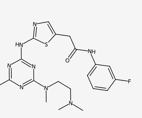 Cc1nc(Nc2ncc(CC(=O)Nc3cccc(F)c3)s2)nc(N(C)CCN(C)C)n1